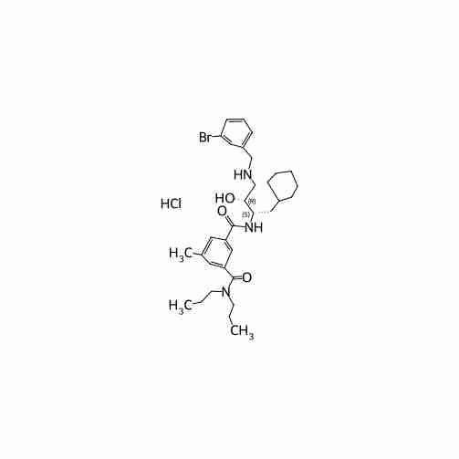 CCCN(CCC)C(=O)c1cc(C)cc(C(=O)N[C@@H](CC2CCCCC2)[C@H](O)CNCc2cccc(Br)c2)c1.Cl